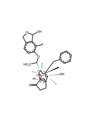 C[C@@H]1CC[C@@]23CCC(=O)[C@H]2[C@@]1(C)[C@H](C(Oc1ccc2c(c1F)B(O)OC2)C(=O)O)C[C@](C)(Cc1ccccc1)[C@@H](O)[C@@H]3C